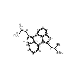 CCCCC(CC)Cc1sc2cccc3c4c(CC(CC)CCCC)sc5cccc(c1c23)c54